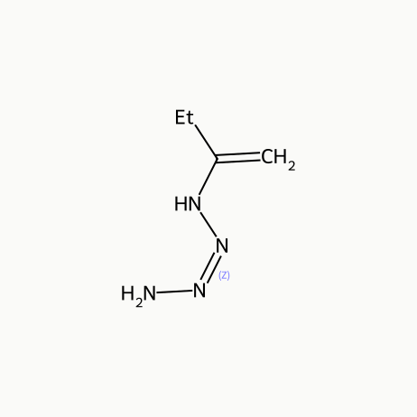 C=C(CC)N/N=N\N